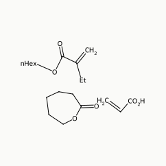 C=C(CC)C(=O)OCCCCCC.C=CC(=O)O.O=C1CCCCCO1